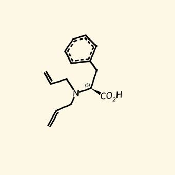 C=CCN(CC=C)[C@@H](Cc1ccccc1)C(=O)O